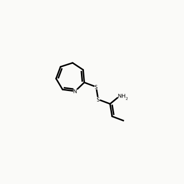 C/C=C(\N)SSC1=CCC=CC=N1